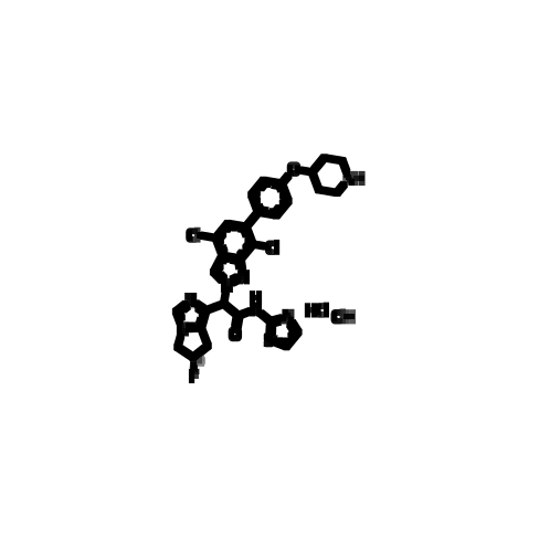 Cl.Cl.O=C(Nc1nccs1)C(c1ncn2c1C[C@@H](F)C2)n1cc2c(Cl)cc(-c3ccc(OC4CCNCC4)cc3)c(Cl)c2n1